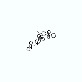 CCc1ccc(S(=O)(=O)c2ccccc2)cc1S(=O)(=O)N1CCN(CC(=O)N2CCCC2)CC1